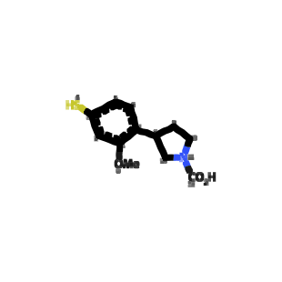 COc1cc(S)ccc1C1CCN(C(=O)O)C1